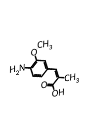 COc1cc(C=C(C)C(=O)O)ccc1N